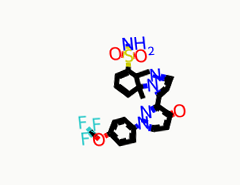 CC1C(S(N)(=O)=O)=CC=CC1(C)n1nccc1-c1nn(-c2ccc(OC(F)(F)F)cc2)ccc1=O